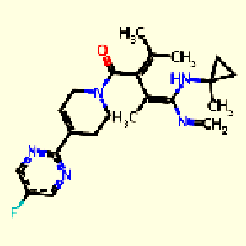 C=N/C(NC1(C)CC1)=C(\C)C(C(=O)N1CC=C(c2ncc(F)cn2)CC1)=C(C)C